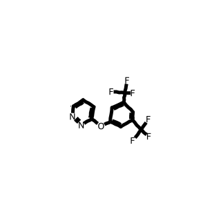 FC(F)(F)c1cc(Oc2cc[c]nn2)cc(C(F)(F)F)c1